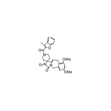 CCN1C(=O)N2Cc3cc(OC)cc(OC)c3CC=C2C12CCN(C(=O)c1oc3ccccc3c1C)CC2